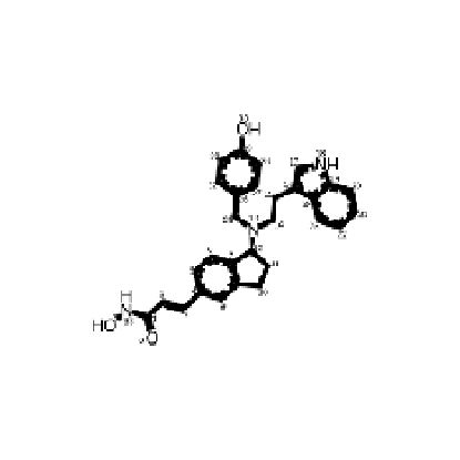 O=C(C=Cc1ccc2c(c1)CC[C@@H]2N(CCc1c[nH]c2ccccc12)Cc1ccc(O)cc1)NO